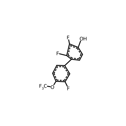 Oc1ccc(-c2ccc(OC(F)(F)F)c(F)c2)c(F)c1F